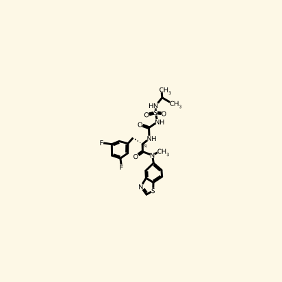 CC(C)NS(=O)(=O)NC(=O)N[C@@H](Cc1cc(F)cc(F)c1)C(=O)N(C)c1ccc2scnc2c1